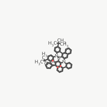 CC(C)(C)c1ccc(N2B3c4c(cc5ccccc5c4-c4cc(C(C)(C)C)ccc42)N(c2ccccc2-c2ccccc2)c2ccc4c(oc5ccccc54)c23)cc1